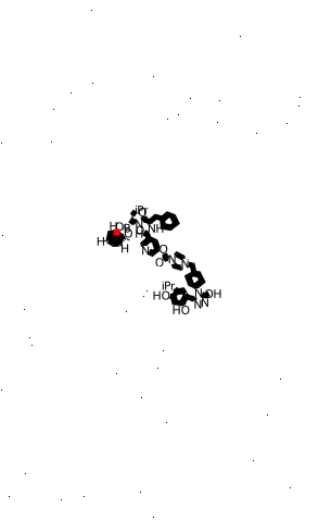 CC(C)C[C@H](NC(=O)C(Cc1ccccc1)NC(=O)c1cncc(OC(=O)N2CCN(Cc3ccc(-n4c(O)nnc4-c4cc(C(C)C)c(O)cc4O)cc3)CC2)c1)B1O[C@@H]2C[C@@H]3C[C@@H](C3(C)C)[C@]2(C)O1